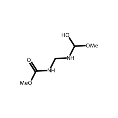 COC(=O)NCNC(O)OC